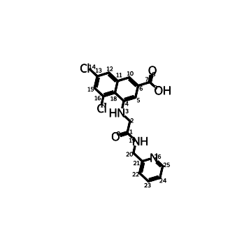 O=C(CNc1cc(C(=O)O)cc2cc(Cl)cc(Cl)c12)NCc1ccccn1